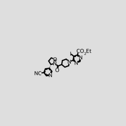 CCOC(=O)c1ncnc(N2CCC(C(=O)N3OCC[C@H]3c3cncc(C#N)c3)CC2)c1I